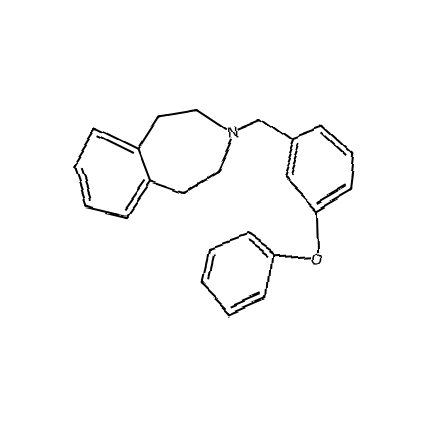 c1ccc(Oc2cccc(CN3CCc4ccccc4CC3)c2)cc1